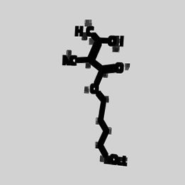 CCCCCCCCCCCCOC(=O)/C(C#N)=C(/C)O